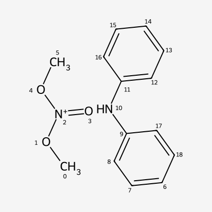 CO[N+](=O)OC.c1ccc(Nc2ccccc2)cc1